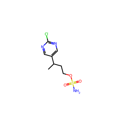 CC(CCOS(N)(=O)=O)c1cnc(Cl)nc1